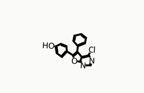 Oc1ccc(-c2oc3ncnc(Cl)c3c2-c2ccccc2)cc1